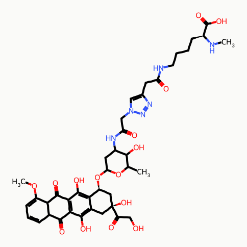 CN[C@@H](CCCCNC(=O)Cc1cn(CC(=O)NC2CC(O[C@H]3C[C@](O)(C(=O)CO)Cc4c(O)c5c(c(O)c43)C(=O)C3C(OC)=CC=CC3C5=O)OC(C)C2O)nn1)C(=O)O